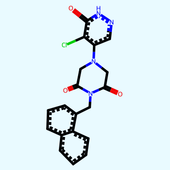 O=C1CN(c2cn[nH]c(=O)c2Cl)CC(=O)N1Cc1cccc2ccccc12